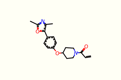 C=CC(=O)N1CCC(Oc2ccc(-c3oc(C)nc3C)cc2)CC1